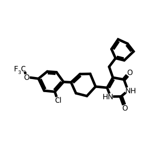 O=c1[nH]c(C2CC=C(c3ccc(OC(F)(F)F)cc3Cl)CC2)c(Cc2ccccc2)c(=O)[nH]1